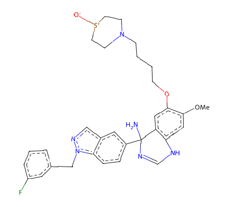 COc1cc2c(cc1OCCCCN1CC[S+]([O-])CC1)C(N)(c1ccc3c(cnn3Cc3cccc(F)c3)c1)N=CN2